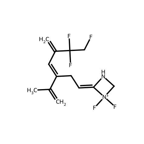 C=C(C)/C(=C/C(=C)C(F)(F)CF)C/C=C1\NC[N+]1(F)F